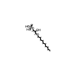 CCCCCCCCCCOCC(O)COP(=O)(O)O